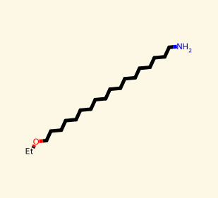 CCOCCCCCCCCCCCCCCCCCCN